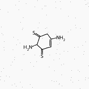 NC1=CC(=S)C(N)C(=S)C1